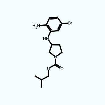 CC(C)COC(=O)N1CCC(Nc2cc(Br)ccc2N)C1